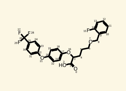 O=C(O)C(CCCOCc1ccccc1F)Oc1ccc(Oc2ccc(C(F)(F)F)cc2)cc1